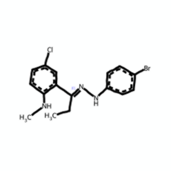 CC/C(=N\Nc1ccc(Br)cc1)c1cc(Cl)ccc1NC